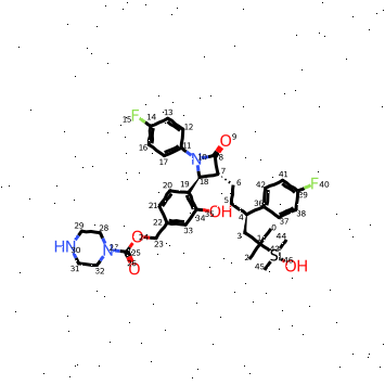 CC(C)(C[C@@H](CC[C@H]1C(=O)N(c2ccc(F)cc2)[C@@H]1c1ccc(COC(=O)N2CCNCC2)cc1O)c1ccc(F)cc1)[Si](C)(C)O